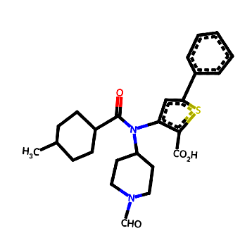 CC1CCC(C(=O)N(c2cc(-c3ccccc3)sc2C(=O)O)C2CCN(C=O)CC2)CC1